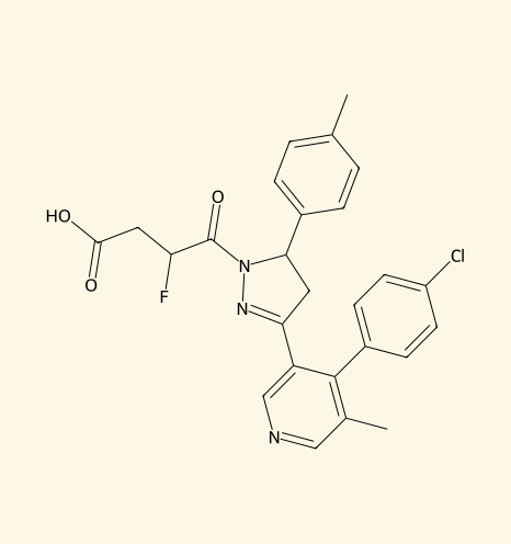 Cc1ccc(C2CC(c3cncc(C)c3-c3ccc(Cl)cc3)=NN2C(=O)C(F)CC(=O)O)cc1